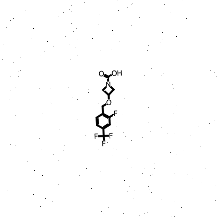 O=C(O)N1CC(OCc2ccc(C(F)(F)F)cc2F)C1